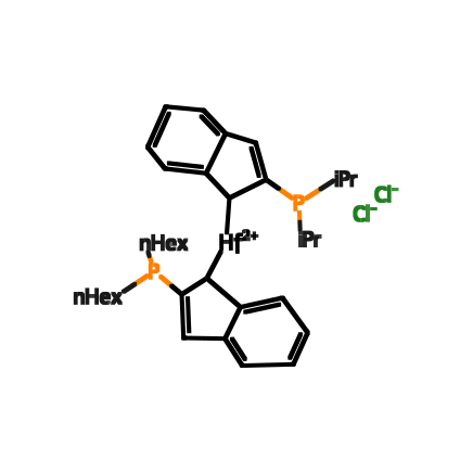 CCCCCCP(CCCCCC)C1=Cc2ccccc2[CH]1[Hf+2][CH]1C(P(C(C)C)C(C)C)=Cc2ccccc21.[Cl-].[Cl-]